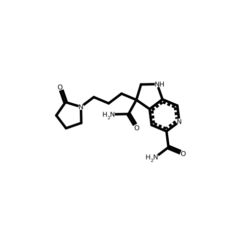 NC(=O)c1cc2c(cn1)NCC2(CCCN1CCCC1=O)C(N)=O